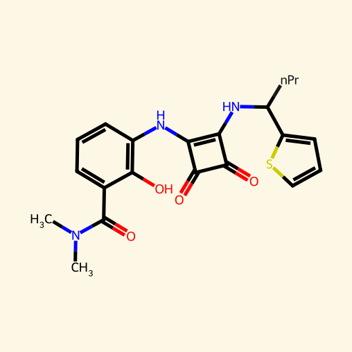 CCCC(Nc1c(Nc2cccc(C(=O)N(C)C)c2O)c(=O)c1=O)c1cccs1